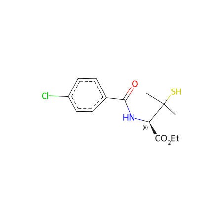 CCOC(=O)[C@@H](NC(=O)c1ccc(Cl)cc1)C(C)(C)S